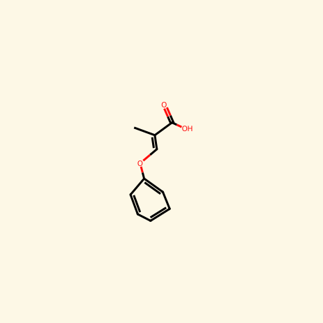 C/C(=C\Oc1ccccc1)C(=O)O